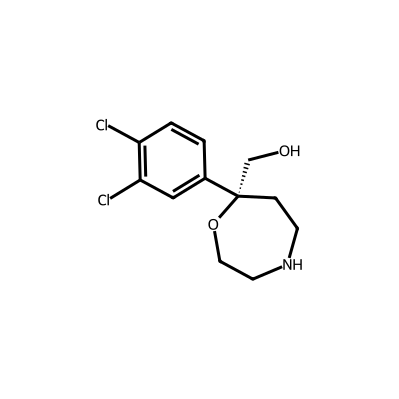 OC[C@]1(c2ccc(Cl)c(Cl)c2)CCNCCO1